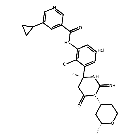 C[C@@H]1C[C@H](N2C(=N)N[C@](C)(c3cccc(NC(=O)c4cncc(C5CC5)c4)c3Cl)CC2=O)CCO1.Cl